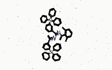 C=C(/N=C(\N=C(/C)c1cccc([Si](C2=CC=CCC2)(c2ccccc2)c2ccccc2)c1)c1cccc([Si](c2ccccc2)(c2ccccc2)c2ccccc2)c1)c1c(C)cccc1C